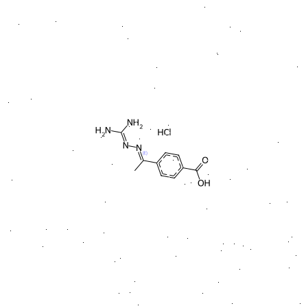 C/C(=N\N=C(N)N)c1ccc(C(=O)O)cc1.Cl